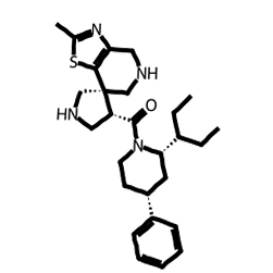 CCC(CC)[C@@H]1C[C@H](c2ccccc2)CCN1C(=O)[C@@H]1CNC[C@]12CNCc1nc(C)sc12